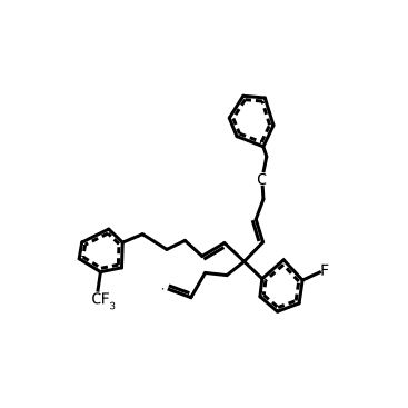 [CH]=CCCC(C=CCCCc1ccccc1)(C=CCCCc1cccc(C(F)(F)F)c1)c1cccc(F)c1